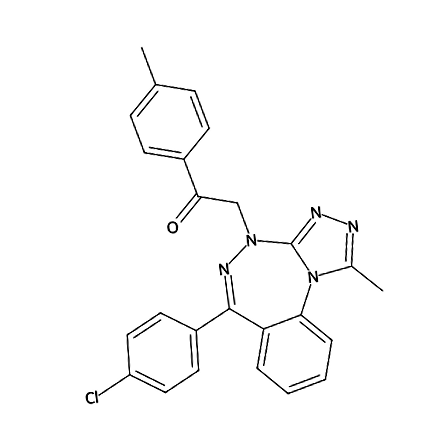 Cc1ccc(C(=O)CN2N=C(c3ccc(Cl)cc3)c3ccccc3-n3c(C)nnc32)cc1